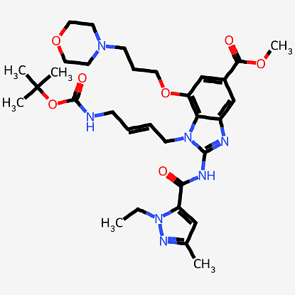 CCn1nc(C)cc1C(=O)Nc1nc2cc(C(=O)OC)cc(OCCCN3CCOCC3)c2n1CC=CCNC(=O)OC(C)(C)C